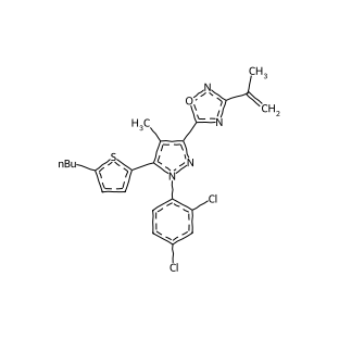 C=C(C)c1noc(-c2nn(-c3ccc(Cl)cc3Cl)c(-c3ccc(CCCC)s3)c2C)n1